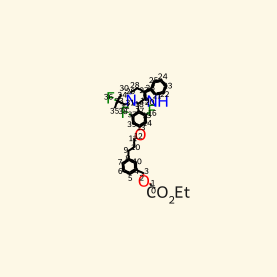 CCOC(=O)COCc1cccc(CCCOc2cc(F)c([C@@H]3c4[nH]c5ccccc5c4C[C@@H](C)N3CC(C)(C)F)c(F)c2)c1